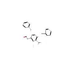 CC(C)c1cc(CC=O)c(OCc2ccccc2)cc1OCc1ccccc1